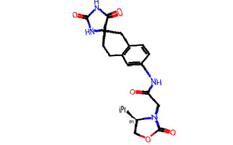 CC(C)[C@@H]1COC(=O)N1CC(=O)Nc1ccc2c(c1)CCC1(C2)NC(=O)NC1=O